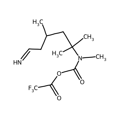 CC(CC=N)CC(C)(C)N(C)C(=O)OC(=O)C(F)(F)F